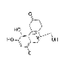 O=C1CCC2C3Cc4c(Cl)cc(O)c(O)c4C2(C=CN3CO)C1